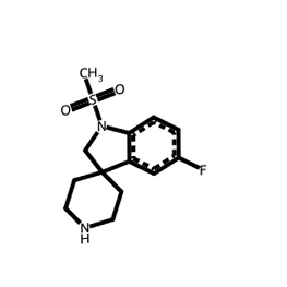 CS(=O)(=O)N1CC2(CCNCC2)c2cc(F)ccc21